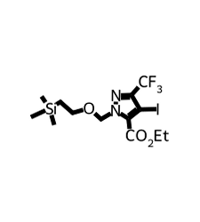 CCOC(=O)c1c(I)c(C(F)(F)F)nn1COCC[Si](C)(C)C